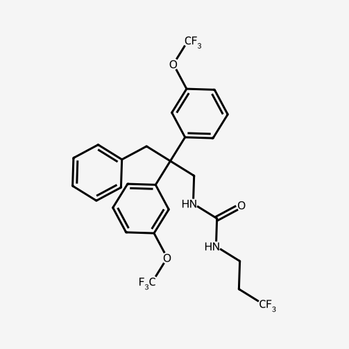 O=C(NCCC(F)(F)F)NCC(Cc1ccccc1)(c1cccc(OC(F)(F)F)c1)c1cccc(OC(F)(F)F)c1